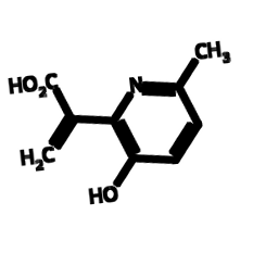 C=C(C(=O)O)c1nc(C)ccc1O